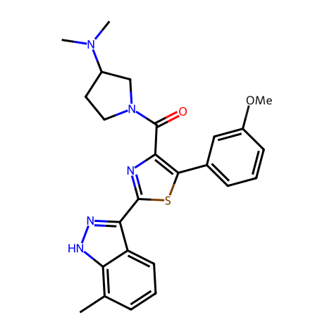 COc1cccc(-c2sc(-c3n[nH]c4c(C)cccc34)nc2C(=O)N2CCC(N(C)C)C2)c1